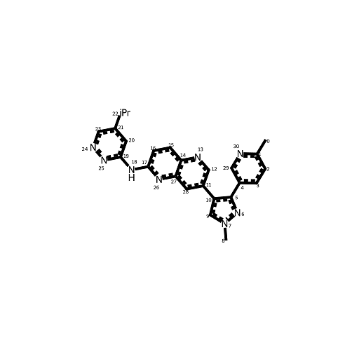 Cc1ccc(-c2nn(C)cc2-c2cnc3ccc(Nc4cc(C(C)C)cnn4)nc3c2)cn1